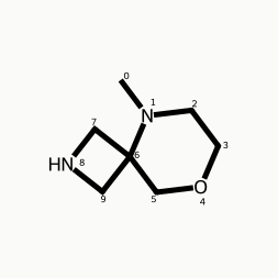 CN1CCOCC12CNC2